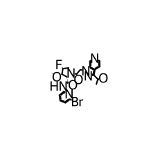 CO[C@H]1[C@@H](C(=O)Nc2cccc(Br)n2)N(C(=O)Cn2nc(C(C)=O)c3ccncc32)C[C@@H]1F